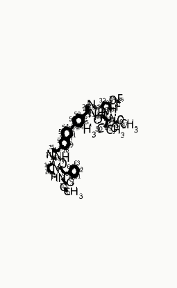 COC(=O)NC(C(=O)N1CCC[C@H]1c1ncc(-c2ccc3cc(-c4ccc(-c5cnc([C@@H]6C[C@H](OC(F)F)CN6C(=O)[C@@H](NC(=O)OC)C(C)C)[nH]5)cc4)ccc3c2)[nH]1)c1ccccc1